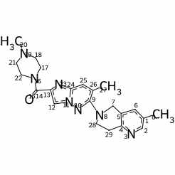 Cc1cnc2c(c1)CN(c1nn3cc(C(=O)N4CCN(C)CC4)nc3cc1C)CC2